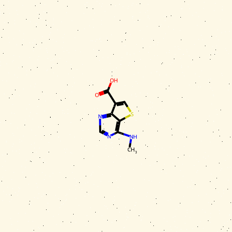 CNc1ncnc2c(C(=O)O)csc12